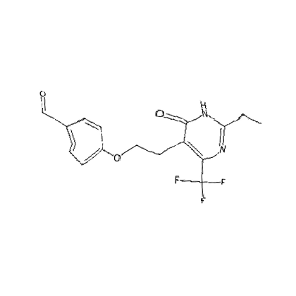 CCc1nc(C(F)(F)F)c(CCOc2ccc(C=O)cc2)c(=O)[nH]1